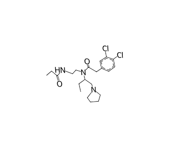 CCC(=O)NCCN(C(=O)Cc1ccc(Cl)c(Cl)c1)C(CC)CN1CCCC1